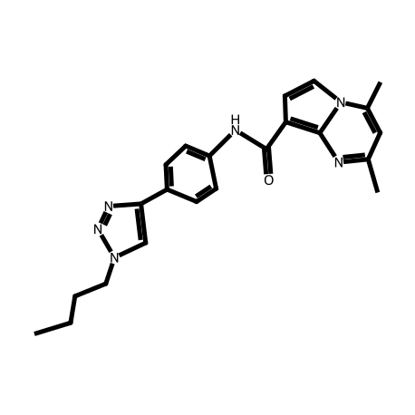 CCCCn1cc(-c2ccc(NC(=O)c3ccn4c(C)cc(C)nc34)cc2)nn1